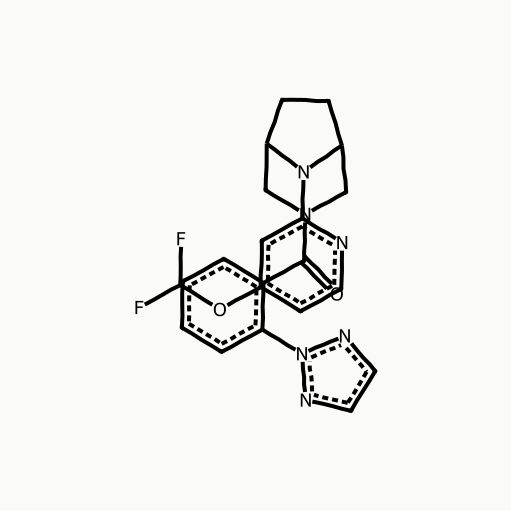 O=C(c1ccccc1-n1nccn1)N1CC2CCC(C1)N2c1cc(OC(F)F)ccn1